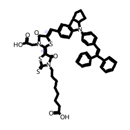 O=C(O)CCCCCCCN1C(=O)/C(=c2\s/c(=C\c3ccc4c(c3)C3CCCC3N4c3ccc(C=C(c4ccccc4)c4ccccc4)cc3)c(=O)n2CC(=O)O)SC1=S